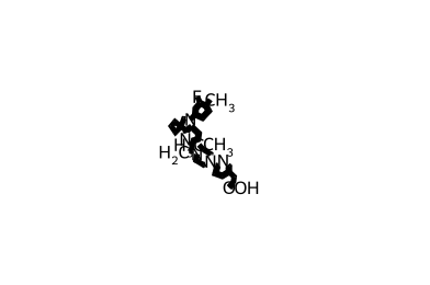 C=C(c1ccc2c(n1)C1(CCC1)CN2c1ccc(C)c(F)c1)N1CCN(c2ccc(CC(=O)O)cn2)CC1(C)C